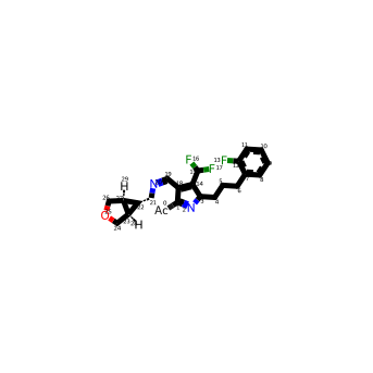 CC(=O)C1=NC(CCCc2ccccc2F)C(C(F)F)=C1/C=N\C[C@@H]1[C@H]2COC[C@@H]12